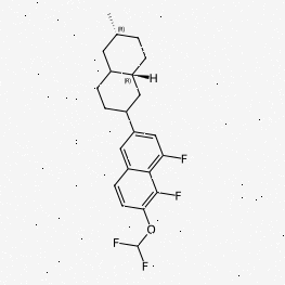 C[C@@H]1CC[C@@H]2CC(c3cc(F)c4c(F)c(OC(F)F)ccc4c3)CCC2C1